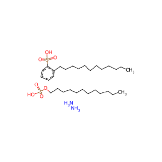 CCCCCCCCCCCCOS(=O)(=O)O.CCCCCCCCCCCCc1ccccc1S(=O)(=O)O.N.N